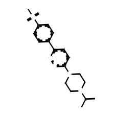 CC(C)N1CCN(c2ccc(-c3ccc(S(C)(=O)=O)cc3)nn2)CC1